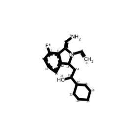 C=CN1/C(=C\N)c2c(F)cccc2C1CC(O)C1CCCCC1